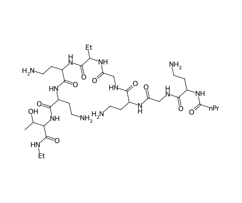 CCCC(=O)NC(CCN)C(=O)NCC(=O)NC(CCN)C(=O)NCC(=O)NC(CC)C(=O)NC(CCN)C(=O)NC(CCN)C(=O)NC(C(=O)NCC)C(C)O